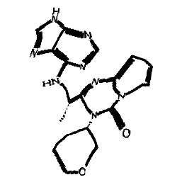 C[C@H](Nc1ncnc2[nH]cnc12)c1nc2cccn2c(=O)n1[C@H]1CCCOC1